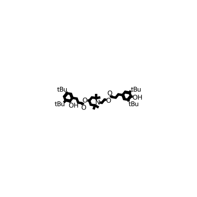 CC(C)(C)c1cc(CCC(=O)OC2CC(C)(C)N(CCOC(=O)CCc3cc(C(C)(C)C)c(O)c(C(C)(C)C)c3)C(C)(C)C2)c(O)c(C(C)(C)C)c1